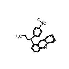 CCCC(c1ccc([N+](=O)[O-])cc1)c1cccc2nc3ccccc3cc12